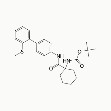 CSc1ccccc1-c1ccc(NC(=O)C2(NC(=O)OC(C)(C)C)CCCCC2)cc1